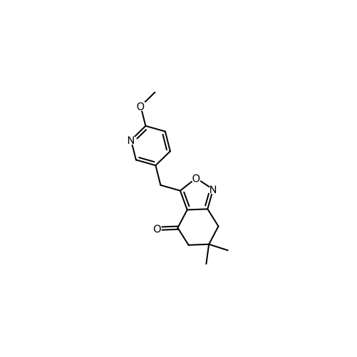 COc1ccc(Cc2onc3c2C(=O)CC(C)(C)C3)cn1